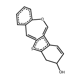 OC1C=Cc2c(sc3c2=COc2ccccc2C=3)C1